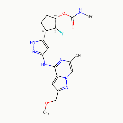 CC(C)NC(=O)O[C@H]1CC[C@@H](c2cc(Nc3nc(C#N)cn4nc(COC(F)(F)F)cc34)n[nH]2)[C@@H]1F